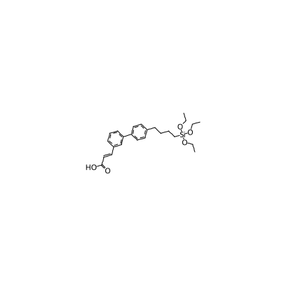 CCO[Si](CCCCc1ccc(-c2cccc(C=CC(=O)O)c2)cc1)(OCC)OCC